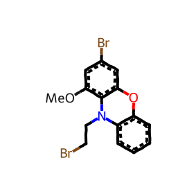 COc1cc(Br)cc2c1N(CCBr)c1ccccc1O2